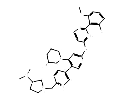 COc1cccc(F)c1-c1nccc(Nc2cc(N3CCC[C@H](O)C3)c(-c3ccc(CN4CCC(N(C)C)C4)nc3)cn2)n1